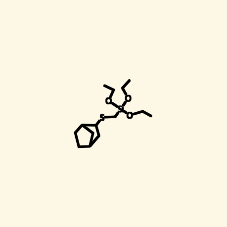 CCO[Si](CSC1CC2CCC1C2)(OCC)OCC